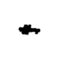 c1ccc(C2(c3ccccc3)C3=C(c4ccc(-c5ccc(-c6ccc7c(c6)sc6ccccc67)cc5)cc42)C(c2ccccc2)(c2ccccc2)c2cc(-c4ccccn4)ccc23)cc1